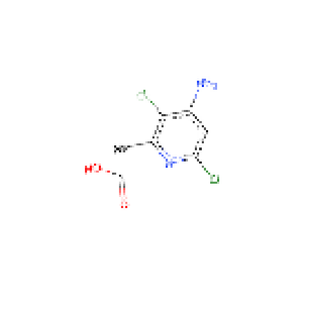 Nc1cc(Cl)n[c]([Na])c1Cl.O=CO